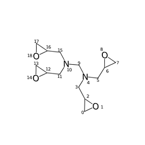 C1OC1CN(CC1CO1)CN(CC1CO1)CC1CO1